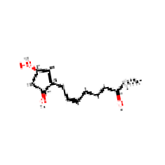 COC(=O)CCC/C=C\CC1=C[C@H](O)CC1=O